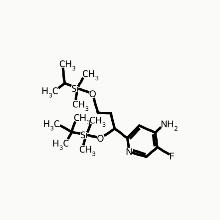 CC(C)[Si](C)(C)OCCC(O[Si](C)(C)C(C)(C)C)c1cc(N)c(F)cn1